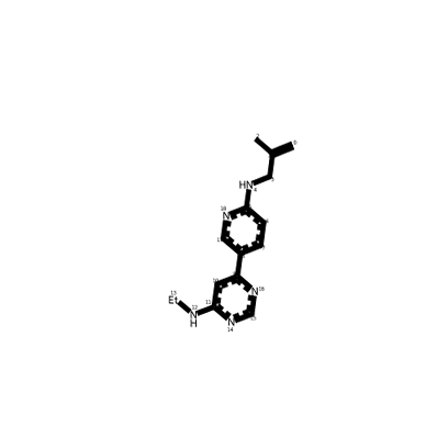 C=C(C)CNc1ccc(-c2cc(NCC)ncn2)cn1